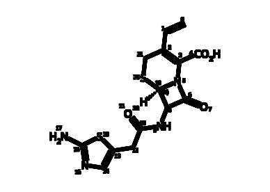 C=CC1=C(C(=O)O)N2C(=O)C(NC(=O)Cc3cnc(N)s3)[C@H]2SC1